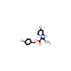 Cc1nc2cc(Cl)ccn2c1C(=O)OCc1ccc(Cl)cc1